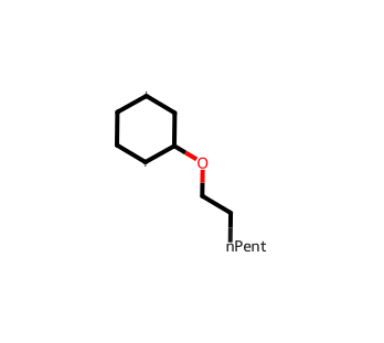 CCCCCCCOC1[CH]CC[CH]C1